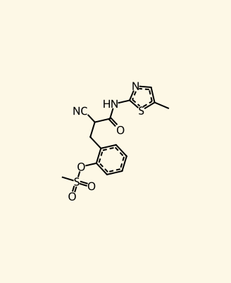 Cc1cnc(NC(=O)C(C#N)Cc2ccccc2OS(C)(=O)=O)s1